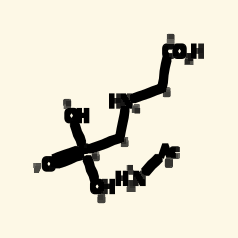 CC(N)=O.O=C(O)CNCP(=O)(O)O